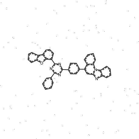 c1ccc(-c2nc(-c3ccc(-c4cc5nc6ccccc6n5c5ccccc45)cc3)nc(-c3cccc4c3oc3ccccc34)n2)cc1